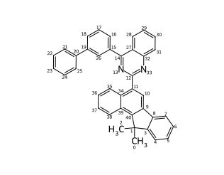 CC1(C)c2ccccc2-c2cc(-c3nc(-c4cccc(-c5ccccc5)c4)c4ccccc4n3)c3ccccc3c21